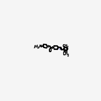 Cc1cccc(C)c1/C=C/C1CCN(C(=O)CN2CCC(N)CC2)CC1